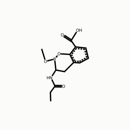 CCC(=O)NC1Cc2cccc(C(=O)O)c2OB1OC